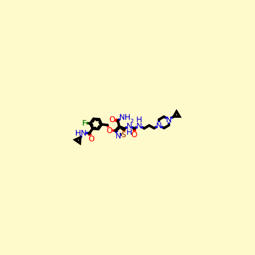 NC(=O)c1c(OCc2ccc(F)c(C(=O)NC3CC3)c2)nsc1NC(=O)NCCCN1CCN(C2CC2)CC1